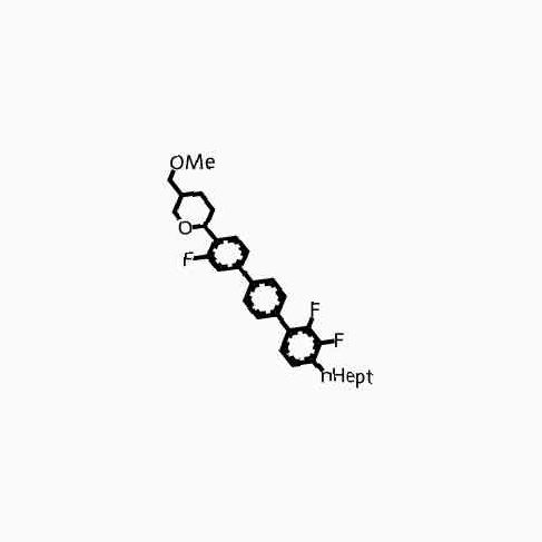 CCCCCCCc1ccc(-c2ccc(-c3ccc(C4CCC(COC)CO4)c(F)c3)cc2)c(F)c1F